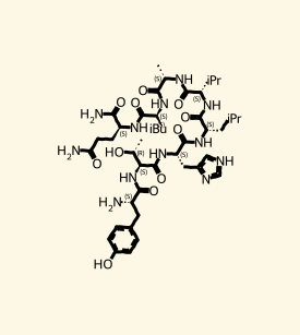 CC[C@H](C)[C@H](NC(=O)[C@H](C)NC(=O)[C@@H](NC(=O)[C@H](CC(C)C)NC(=O)[C@H](Cc1c[nH]cn1)NC(=O)[C@@H](NC(=O)[C@@H](N)Cc1ccc(O)cc1)[C@@H](C)O)C(C)C)C(=O)N[C@@H](CCC(N)=O)C(N)=O